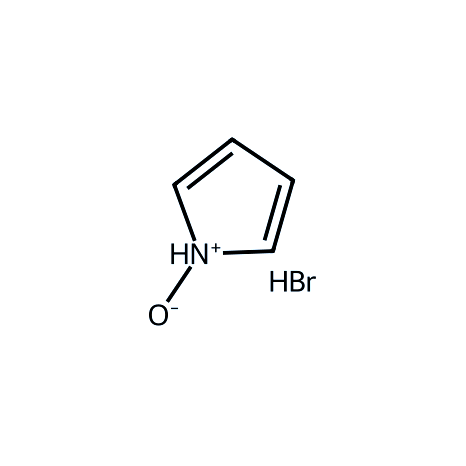 Br.[O-][NH+]1C=CC=C1